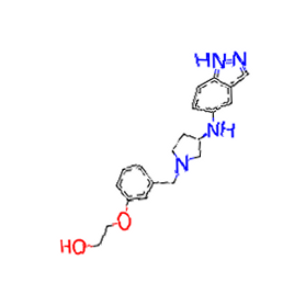 OCCOc1cccc(CN2CC[C@@H](Nc3ccc4[nH]ncc4c3)C2)c1